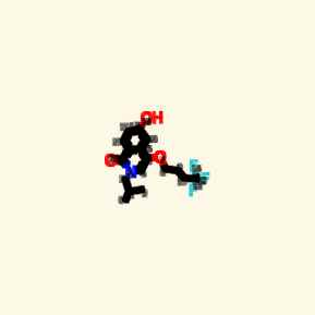 CC(C)Cn1[c]c(OCCCC(F)(F)F)c2cc(O)ccc2c1=O